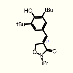 CC(C)N1OC/C(=C\c2cc(C(C)(C)C)c(O)c(C(C)(C)C)c2)C1=O